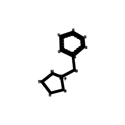 [C](c1ccccc1)N1CCCC1